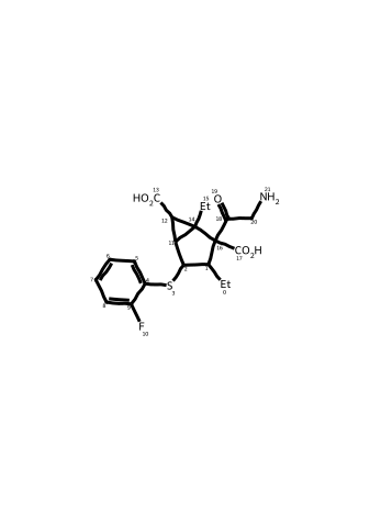 CCC1C(Sc2ccccc2F)C2C(C(=O)O)C2(CC)C1(C(=O)O)C(=O)CN